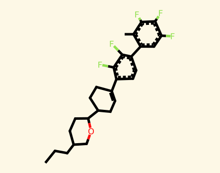 CCCC1CCC(C2CC=C(c3ccc(-c4cc(F)c(F)c(F)c4C)c(F)c3F)CC2)OC1